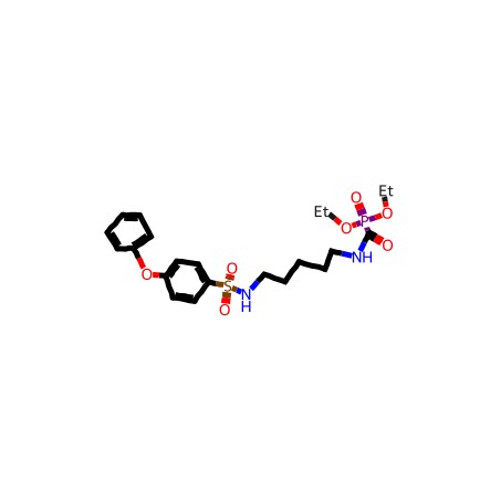 CCOP(=O)(OCC)C(=O)NCCCCCNS(=O)(=O)c1ccc(Oc2ccccc2)cc1